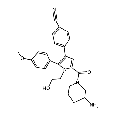 COc1ccc(-c2c(-c3ccc(C#N)cc3)cc(C(=O)N3CCCC(N)C3)n2CCO)cc1